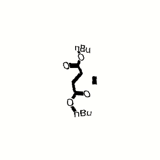 C=C.CCCCOC(=O)/C=C/C(=O)OCCCC